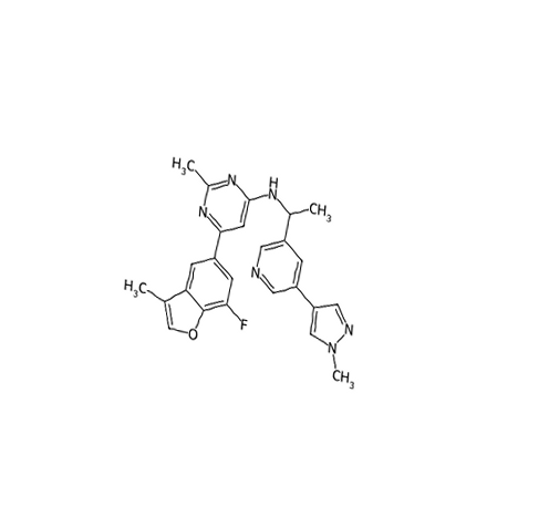 Cc1nc(NC(C)c2cncc(-c3cnn(C)c3)c2)cc(-c2cc(F)c3occ(C)c3c2)n1